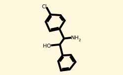 NC(c1ccc(Cl)cc1)C(O)c1ccccc1